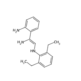 CCc1cccc(CC)c1N/C=C(\N)c1ccccc1N